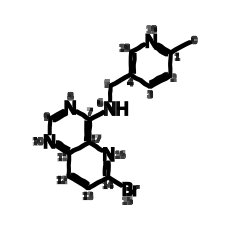 Cc1ccc(CNc2ncnc3ccc(Br)nc23)cn1